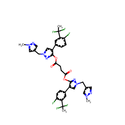 Cn1cc(Cn2cc(-c3ccc(F)c(C(C)(F)F)c3)c(OC(=O)CCC(=O)Oc3nn(Cc4cnn(C)c4)cc3-c3ccc(F)c(C(C)(F)F)c3)n2)cn1